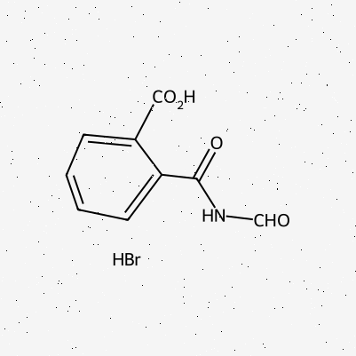 Br.O=CNC(=O)c1ccccc1C(=O)O